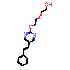 OCCOCCOc1ncc(/C=C/c2cc[c]cc2)cn1